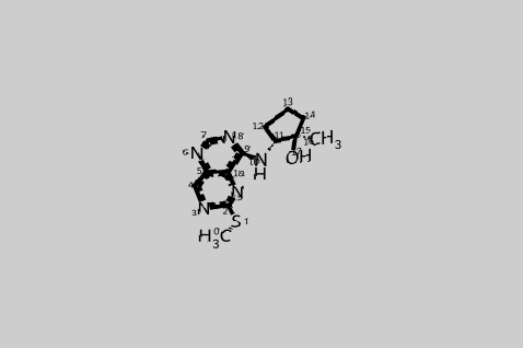 CSc1ncc2ncnc(N[C@@H]3CCC[C@@]3(C)O)c2n1